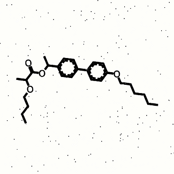 CCCCCCOc1ccc(-c2ccc(C(C)OC(=O)C(C)OCCCC)cc2)cc1